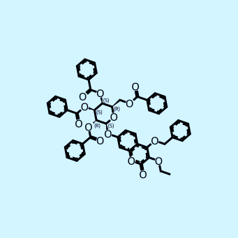 CCOc1c(OCc2ccccc2)c2ccc(O[C@@H]3O[C@H](COC(=O)c4ccccc4)[C@H](OC(=O)c4ccccc4)[C@H](OC(=O)c4ccccc4)[C@H]3OC(=O)c3ccccc3)cc2oc1=O